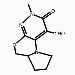 Cn1nc2c(c(C=O)c1=O)N1CCCC1CO2